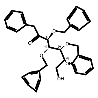 O=C(Cc1ccccc1)[C@@H](OCc1ccccc1)[C@@H](OCc1ccccc1)[C@H](OCc1ccccc1)[C@H](O)CO